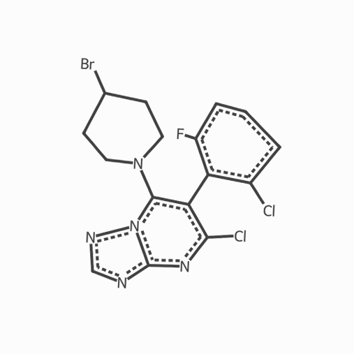 Fc1cccc(Cl)c1-c1c(Cl)nc2ncnn2c1N1CCC(Br)CC1